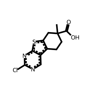 CC1(C(=O)O)CCc2c(sc3nc(Cl)ncc23)C1